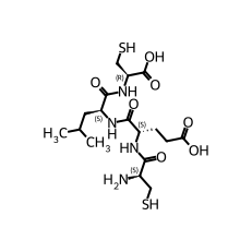 CC(C)C[C@H](NC(=O)[C@H](CCC(=O)O)NC(=O)[C@H](N)CS)C(=O)N[C@@H](CS)C(=O)O